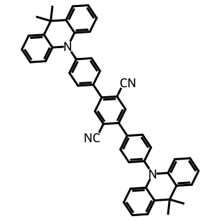 CC1(C)c2ccccc2N(c2ccc(-c3cc(C#N)c(-c4ccc(N5c6ccccc6C(C)(C)c6ccccc65)cc4)cc3C#N)cc2)c2ccccc21